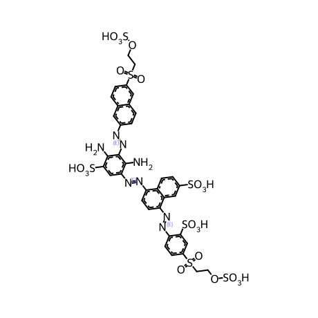 Nc1c(/N=N/c2ccc(/N=N/c3ccc(S(=O)(=O)CCOS(=O)(=O)O)cc3S(=O)(=O)O)c3cc(S(=O)(=O)O)ccc23)cc(S(=O)(=O)O)c(N)c1/N=N/c1ccc2cc(S(=O)(=O)CCOS(=O)(=O)O)ccc2c1